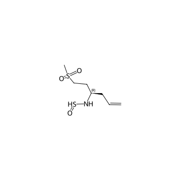 C=CC[C@H](CCS(C)(=O)=O)N[SH]=O